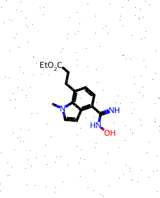 CCOC(=O)CCc1ccc(C(=N)NO)c2ccn(C)c12